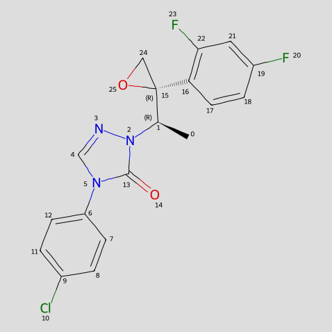 C[C@@H](n1ncn(-c2ccc(Cl)cc2)c1=O)[C@]1(c2ccc(F)cc2F)CO1